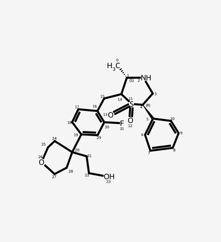 C[C@@H]1NC[C@@H](c2ccccc2)S(=O)(=O)C1Cc1ccc(C2(CCO)CCOCC2)cc1F